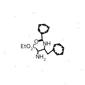 CCOC(=O)C(N)C(Cc1ccccc1)NC(=O)c1ccccc1